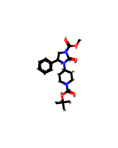 COC(=O)N1CC(c2ccccc2)N(C2CCN(C(=O)OC(C)(C)C)CC2)C1=O